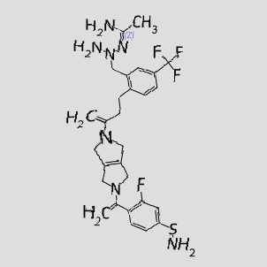 C=C(CCc1ccc(C(F)(F)F)cc1CN(N)/N=C(/C)N)N1CC2=C(C1)CN(C(=C)c1ccc(SN)cc1F)C2